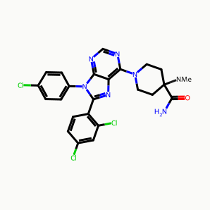 CNC1(C(N)=O)CCN(c2ncnc3c2nc(-c2ccc(Cl)cc2Cl)n3-c2ccc(Cl)cc2)CC1